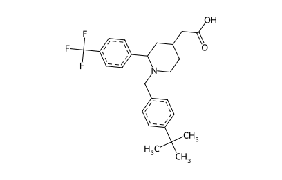 CC(C)(C)c1ccc(CN2CCC(CC(=O)O)CC2c2ccc(C(F)(F)F)cc2)cc1